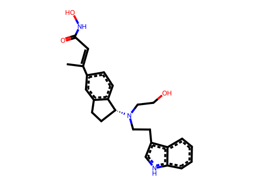 C/C(=C\C(=O)NO)c1ccc2c(c1)CC[C@H]2N(CCO)CCc1c[nH]c2ccccc12